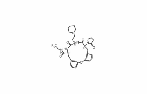 O=C(NCC(F)(F)F)[C@@H]1Cc2cccc(c2)Oc2cccc(c2)C[C@H](N2CCCC2=O)C(=O)N[C@@H](CCN2CCCCC2)C(=O)N1